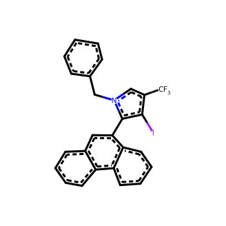 FC(F)(F)c1cn(Cc2ccccc2)c(-c2cc3ccccc3c3ccccc23)c1I